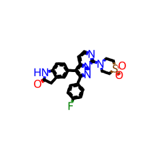 O=C1Cc2cc(-c3c(-c4ccc(F)cc4)nn4c(N5CCS(=O)(=O)CC5)nccc34)ccc2N1